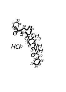 Cc1cc(NC(=S)NC(=O)Cc2ccccc2)ccc1Oc1ccnc2cc(C(=O)N3CCCC3)sc12.Cl